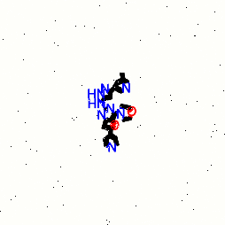 Cc1cncc(-c2cc(Nc3nc(N4CCOCC4)c4oc(-c5ccncc5)cc4n3)[nH]n2)c1